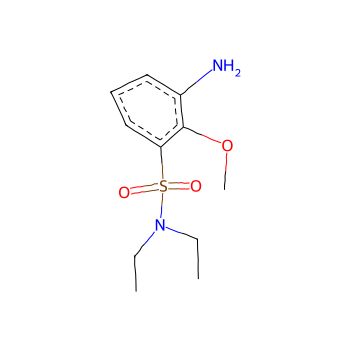 CCN(CC)S(=O)(=O)c1cccc(N)c1OC